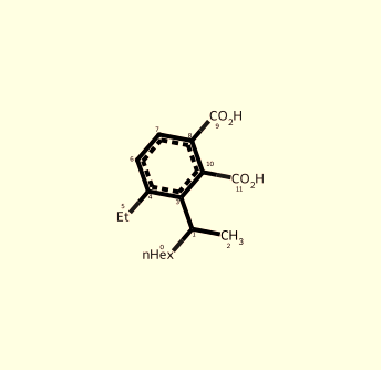 CCCCCCC(C)c1c(CC)ccc(C(=O)O)c1C(=O)O